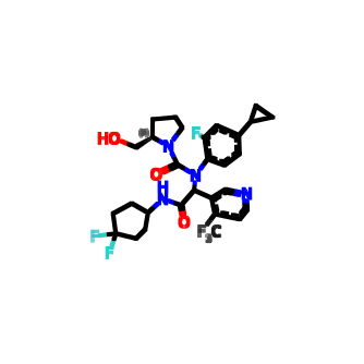 O=C(NC1CCC(F)(F)CC1)C(c1cnccc1C(F)(F)F)N(C(=O)N1CCC[C@@H]1CO)c1ccc(C2CC2)cc1F